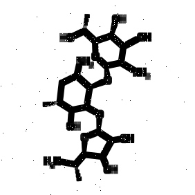 C[C@@H]1CC(N)[C@@H](O[C@H]2OC([C@@H](C)O)[C@@H](O)C(O)C2N)C(O[C@@H]2O[C@H]([C@H](C)N)C(O)C2O)C1O